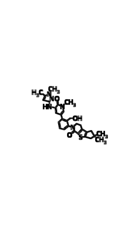 Cc1cc(Nc2cc(-c3cccc(N4CCc5c(sc6c5CC(C)(C)C6)C4=O)c3CO)cn(C)c2=O)nn1C